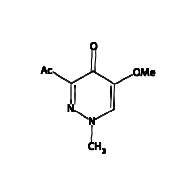 COc1cn(C)nc(C(C)=O)c1=O